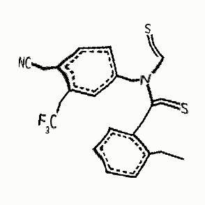 Cc1ccccc1C(=S)N(C=S)c1ccc(C#N)c(C(F)(F)F)c1